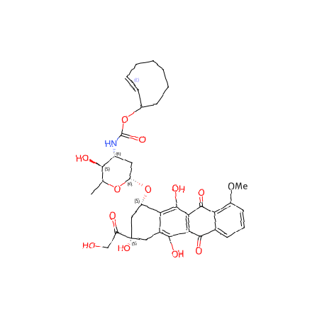 COc1cccc2c1C(=O)c1c(O)c3c(c(O)c1C2=O)C[C@@](O)(C(=O)CO)C[C@@H]3O[C@H]1C[C@@H](NC(=O)OC2/C=C/CCCCC2)[C@H](O)C(C)O1